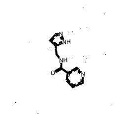 O=C(NCc1ccn[nH]1)c1cccnc1